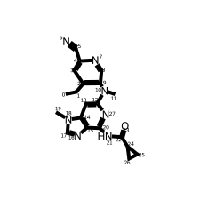 CCc1cc(C#N)ncc1N(C)c1cc2c(ncn2C)c(NC(=O)C2CC2)n1